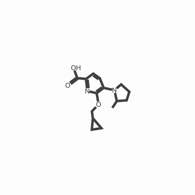 CC1CCCN1c1ccc(C(=O)O)nc1OCC1CC1